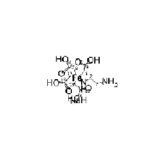 NCC[NH][Fe]([CH2]C(=O)O)([CH2]C(=O)O)([CH2]C(=O)O)[CH2]C(=O)O.[NaH]